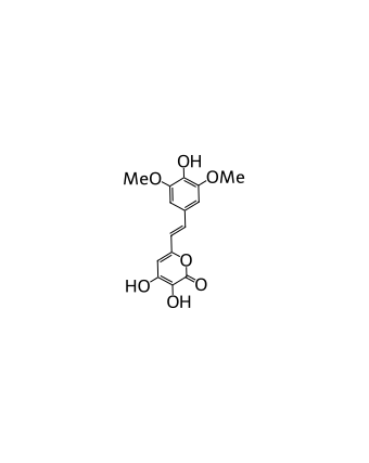 COc1cc(C=Cc2cc(O)c(O)c(=O)o2)cc(OC)c1O